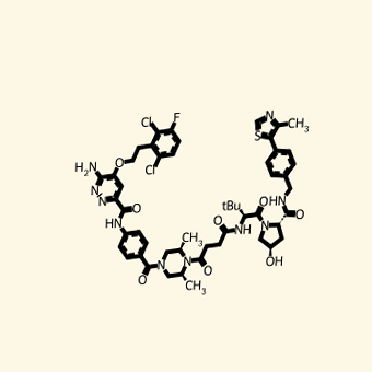 Cc1ncsc1-c1ccc(CNC(=O)[C@@H]2C[C@@H](O)CN2C(=O)[C@@H](NC(=O)CCC(=O)N2[C@H](C)CN(C(=O)c3ccc(NC(=O)c4cc(OCCc5c(Cl)ccc(F)c5Cl)c(N)nn4)cc3)C[C@@H]2C)C(C)(C)C)cc1